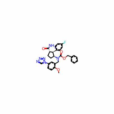 COc1ccc(-n2cnnn2)cc1CN(C(=O)OCc1ccccc1)[C@H]1CC[C@H](C(N)=O)[C@H]1c1ccc(F)cc1